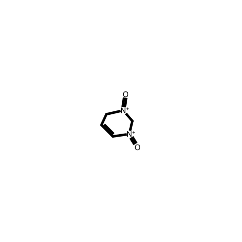 O=[N+]1C=CC[N+](=O)C1